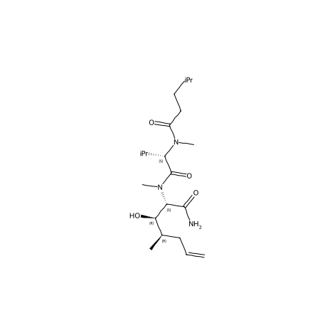 C=CC[C@@H](C)[C@@H](O)[C@@H](C(N)=O)N(C)C(=O)[C@H](C(C)C)N(C)C(=O)CCC(C)C